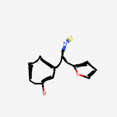 S=NC(c1cccc(Br)c1)c1ccco1